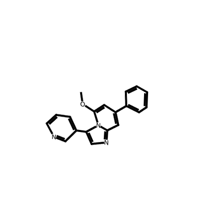 COc1cc(-c2ccccc2)cc2ncc(-c3cccnc3)n12